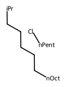 CCCCCCCCCCCCCC(C)C.CCCCCCl